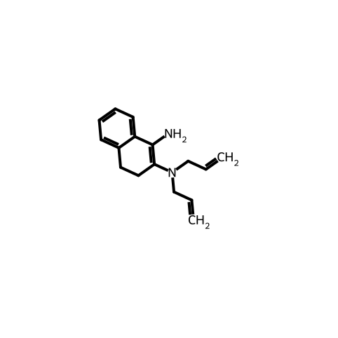 C=CCN(CC=C)C1=C(N)c2ccccc2CC1